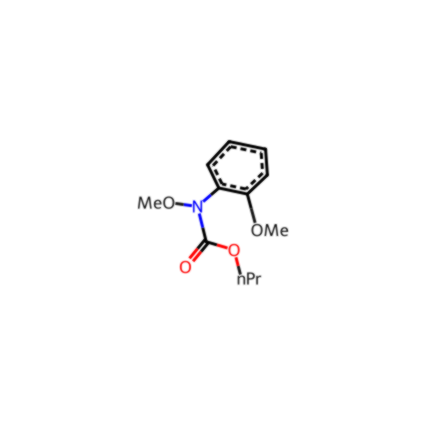 [CH2]CCOC(=O)N(OC)c1ccccc1OC